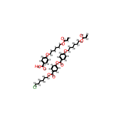 C=CC(=O)OCCCCCCOc1ccc(C(=O)O)cc1.C=CC(=O)OCCCCCCOc1ccc(C(=O)Oc2ccc(C(=O)OCCCCCCCl)cc2)cc1